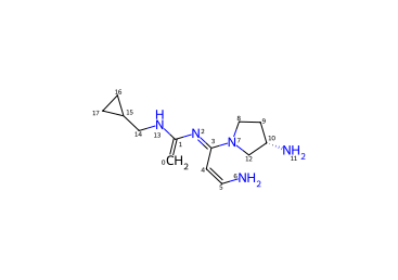 C=C(/N=C(\C=C/N)N1CC[C@H](N)C1)NCC1CC1